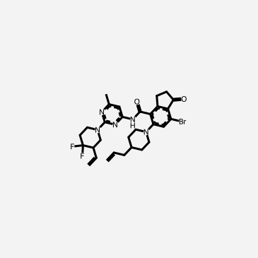 C=CCC1CCN(c2cc(Br)c3c(c2C(=O)Nc2cc(C)nc(N4CCC(F)(F)C(C=C)C4)n2)CCC3=O)CC1